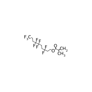 C=C(C)C(=O)OCCC(F)(F)CCC(F)(F)C(F)(F)CCC(F)(F)F